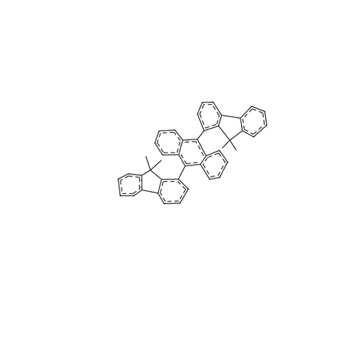 CC1(C)c2ccccc2-c2cccc(-c3c4ccccc4c(-c4cccc5c4C(C)(C)c4ccccc4-5)c4ccccc34)c21